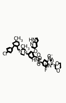 C[C@H]1CCC(CN2CCN(c3ccc(C(=O)NS(=O)(=O)c4cc(F)c(NC[C@H]5COCCO5)c([N+](=O)[O-])c4)c(Oc4cnc5[nH]ccc5c4)c3)C[C@H]2C)=C(c2ccc(Cl)cc2)C1